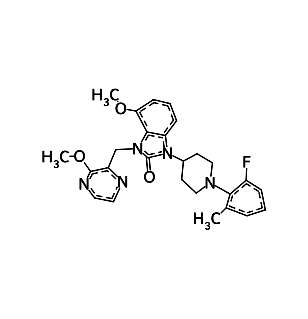 COc1nccnc1Cn1c(=O)n(C2CCN(c3c(C)cccc3F)CC2)c2cccc(OC)c21